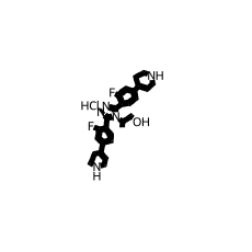 CC(CO)n1c(-c2ccc(C3=CCNCC3)cc2F)nnc1-c1ccc(C2=CCNCC2)cc1F.Cl